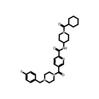 O=C(NC1CCN(C(=O)C2CCCCC2)CC1)c1ccc(C(=O)N2CCN(Cc3ccc(F)cc3)CC2)cn1